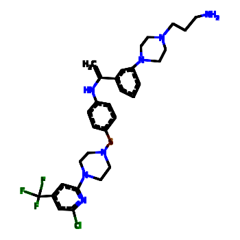 C=C(Nc1ccc(SN2CCN(c3cc(C(F)(F)F)cc(Cl)n3)CC2)cc1)c1cccc(N2CCN(CCCN)CC2)c1